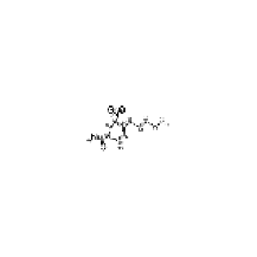 C=NC(=O)c1cc([N+](=O)[O-])c(CC=CCCC)cc1C